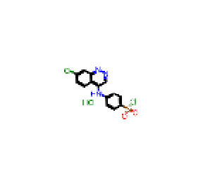 Cl.O=S(=O)(Cl)c1ccc(Nc2cnnc3cc(Cl)ccc23)cc1